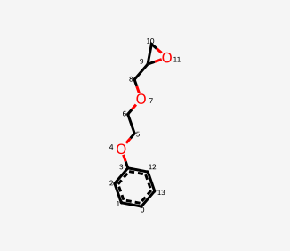 c1ccc(OCCOCC2CO2)cc1